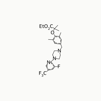 CCOC(=O)C(C)(C)Oc1c(C)cc(CN2CCN(c3ncc(C(F)(F)F)cc3F)CC2)cc1C